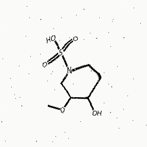 COC1CN(S(=O)(=O)O)CCC1O